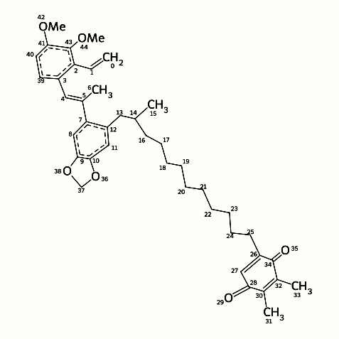 C=Cc1c(/C=C(\C)c2cc3c(cc2CC(C)CCCCCCCCCCC2=CC(=O)C(C)=C(C)C2=O)OCO3)ccc(OC)c1OC